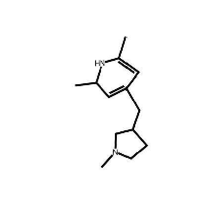 CC1=CC(CC2CCN(C)C2)=CC(C)N1